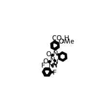 COc1cc(N(C(=O)n2nnn(-c3c(F)cccc3F)c2=O)C2CCCCC2)ccc1C(=O)O